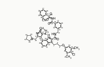 Cc1cc(OCCCc2c(C(=O)NCc3cccc(C(=O)NS(=O)(=O)c4ccccc4C#N)c3)[nH]c3c(-c4c(CN5CCCC5)nn(C)c4C)cccc23)cc(C)c1Cl